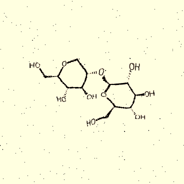 OC[C@H]1O[C@@H](O[C@H]2[CH]O[C@H](CO)[C@@H](O)[C@@H]2O)[C@H](O)[C@@H](O)[C@@H]1O